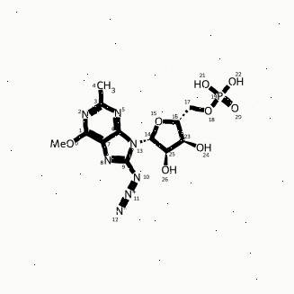 COc1nc(C)nc2c1nc(N=[N+]=[N-])n2[C@@H]1O[C@H](COP(=O)(O)O)[C@@H](O)[C@H]1O